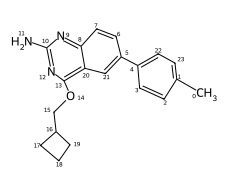 Cc1ccc(-c2ccc3nc(N)nc(OCC4CCC4)c3c2)cc1